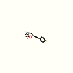 C[Si]1(C)CCC(C#Cc2ccc(F)cc2)O[Si]1(C)C